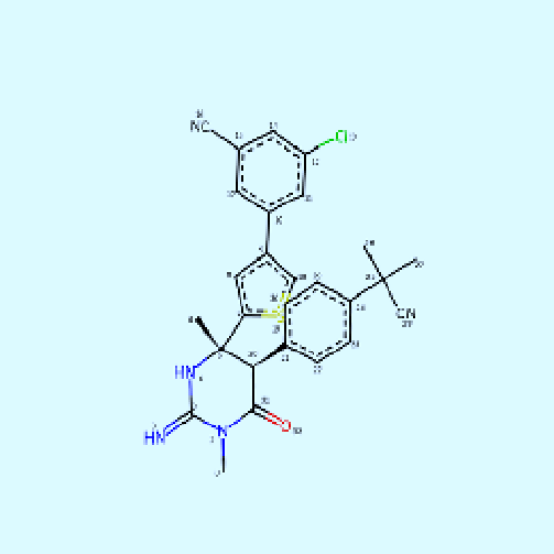 CN1C(=N)N[C@](C)(c2cc(-c3cc(Cl)cc(C#N)c3)cs2)[C@@H](c2ccc(C(C)(C)C#N)cc2)C1=O